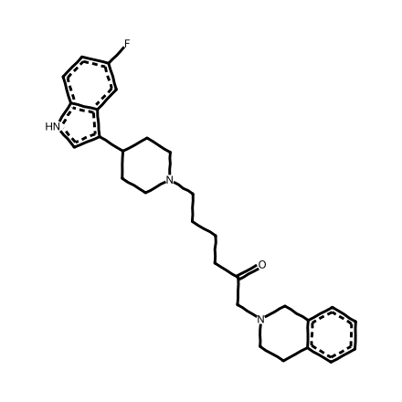 O=C(CCCCN1CCC(c2c[nH]c3ccc(F)cc23)CC1)CN1CCc2ccccc2C1